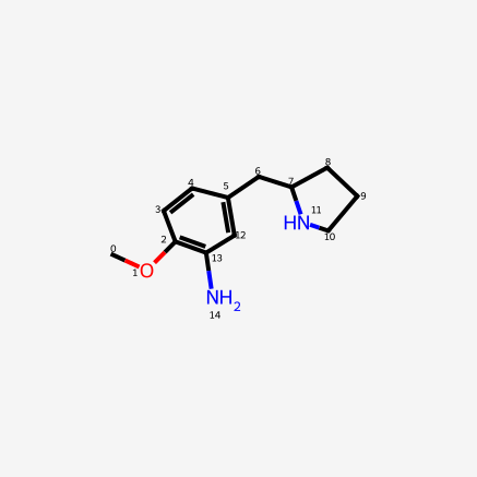 COc1ccc(CC2CCCN2)cc1N